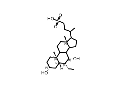 CC[C@H]1[C@@H](O)C2C3CCC(C(C)CCS(=O)(=O)O)[C@@]3(C)CCC2[C@@]2(C)CC[C@@H](O)C[C@@H]12